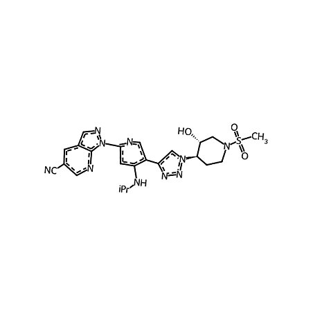 CC(C)Nc1cc(-n2ncc3cc(C#N)cnc32)ncc1-c1cn([C@@H]2CCN(S(C)(=O)=O)C[C@H]2O)nn1